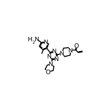 C=CC(=O)N1CCN(c2nc(-c3cnc(N)cc3C)nc(N3CCOCC3)n2)CC1